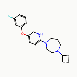 Fc1cccc(OC2=C[C]=C(N3CCCN(C4CCC4)CC3)NC2)c1